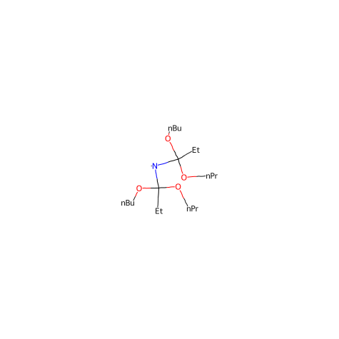 CCCCOC(CC)([N]C(CC)(OCCC)OCCCC)OCCC